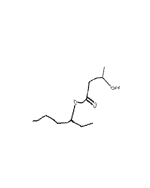 CCCC(CC)OC(=O)CC(C)O